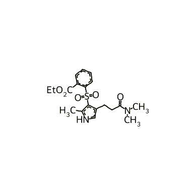 CCOC(=O)c1ccccc1S(=O)(=O)c1c(CCC(=O)N(C)C)c[nH]c1C